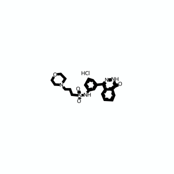 Cl.O=c1[nH]nc(-c2cccc(NS(=O)(=O)CCCN3CCOCC3)c2)c2ccccc12